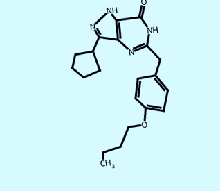 CCCCOc1ccc(Cc2nc3c(C4CCCC4)n[nH]c3c(=O)[nH]2)cc1